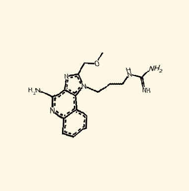 COCc1nc2c(N)nc3ccccc3c2n1CCCNC(=N)N